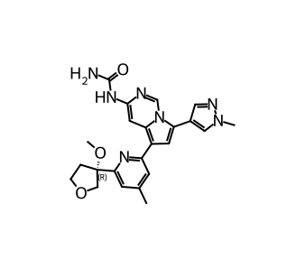 CO[C@@]1(c2cc(C)cc(-c3cc(-c4cnn(C)c4)n4cnc(NC(N)=O)cc34)n2)CCOC1